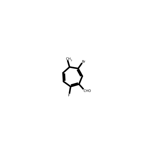 CC1C=CC(F)=C(C=O)C=C1Br